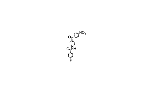 O=C(NN1CCN(C(=O)c2ccc([N+](=O)[O-])cc2)CC1)c1ccc(F)cc1